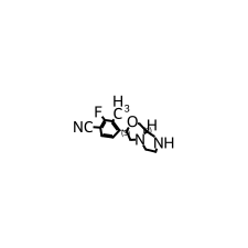 Cc1c([C@H]2CN3CCNC[C@H]3CO2)ccc(C#N)c1F